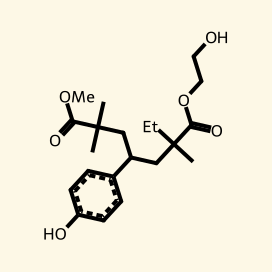 CCC(C)(CC(CC(C)(C)C(=O)OC)c1ccc(O)cc1)C(=O)OCCO